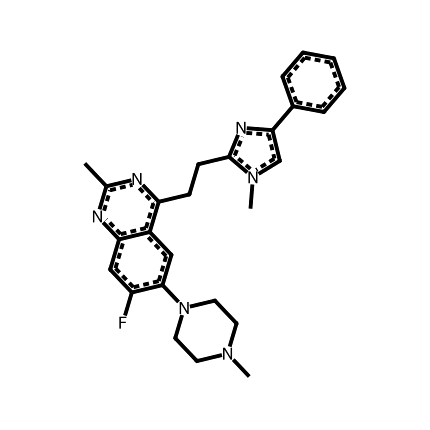 Cc1nc(CCc2nc(-c3ccccc3)cn2C)c2cc(N3CCN(C)CC3)c(F)cc2n1